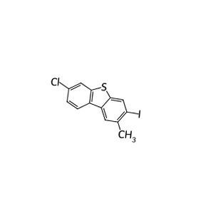 Cc1cc2c(cc1I)sc1cc(Cl)ccc12